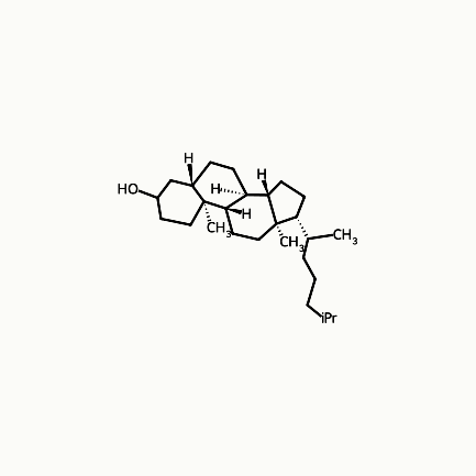 CC(C)CCCC(C)[C@H]1CC[C@H]2[C@@H]3CC[C@H]4CC(O)CC[C@]4(C)[C@H]3CC[C@]12C